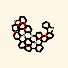 c1ccc(-c2cccc(-c3ccccc3)c2N2c3cc(-c4cccc5sc6ccccc6c45)ccc3B3c4ccc(-c5cccc6sc7ccccc7c56)cc4N(c4c(-c5ccccc5)cccc4-c4ccccc4)c4cccc2c43)cc1